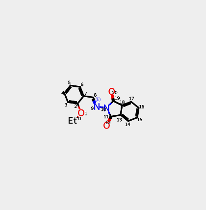 CCOc1ccccc1/C=N/N1C(=O)c2ccccc2C1=O